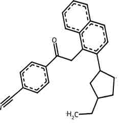 [CH2]CC1C[CH]C(c2ccc3ccccc3c2CC(=O)c2ccc(C#N)cc2)C1